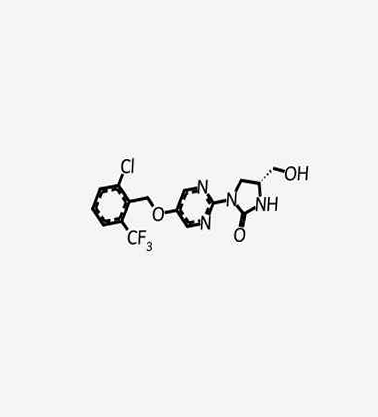 O=C1N[C@@H](CO)CN1c1ncc(OCc2c(Cl)cccc2C(F)(F)F)cn1